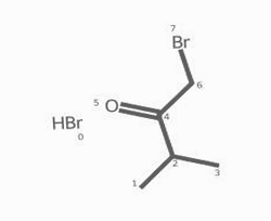 Br.CC(C)C(=O)CBr